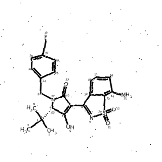 CC(C)(C)[C@H]1C(O)=C(C2=NS(=O)(=O)c3c(N)cccc32)C(=O)N1Cc1ccc(F)cc1